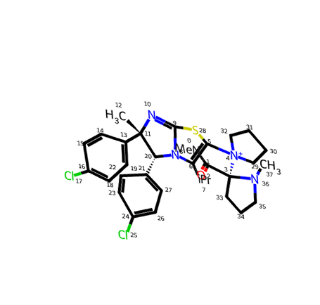 CNC(=O)[C@]1([N+]2(C3=C(C(C)C)N4C(=N[C@@](C)(c5ccc(Cl)cc5)[C@H]4c4ccc(Cl)cc4)S3)CCCC2)CCCN1C